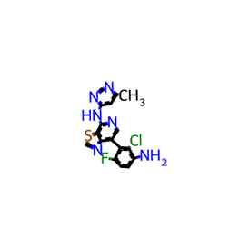 Cc1cc(Nc2ncc(-c3c(F)ccc(N)c3Cl)c3ncsc23)ncn1